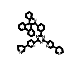 c1cncc(-c2ccc(-c3nc(-c4cccc(-c5nc6ccccc6c6c7ccccc7c7ccccc7c56)c4)nc(-c4ccc(-c5cccnc5)cn4)n3)nc2)c1